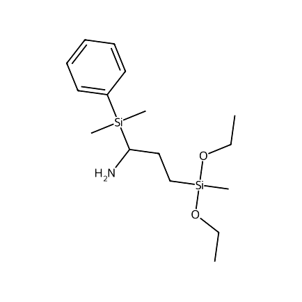 CCO[Si](C)(CCC(N)[Si](C)(C)c1ccccc1)OCC